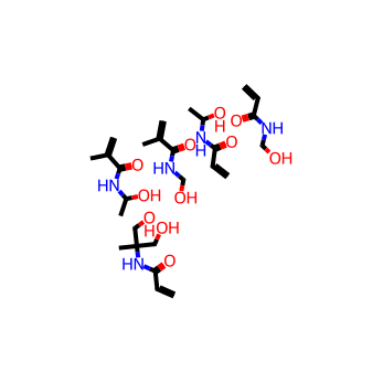 C=C(C)C(=O)NC(C)O.C=C(C)C(=O)NCO.C=CC(=O)NC(C)(CO)CO.C=CC(=O)NC(C)O.C=CC(=O)NCO